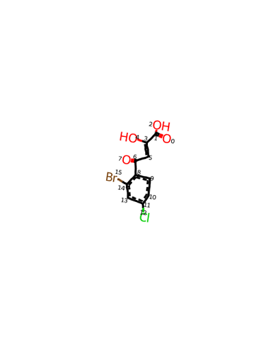 O=C(O)C(O)=CC(=O)c1ccc(Cl)cc1Br